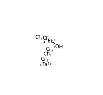 CCO.[Cl-].[Cl-].[Cl-].[Cl-].[Cl-].[Ta+5]